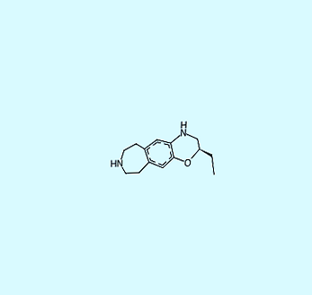 CC[C@@H]1CNc2cc3c(cc2O1)CCNCC3